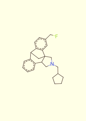 FCc1ccc2c(c1)C13CC2c2ccccc2C1CN(CC1CCCC1)C3